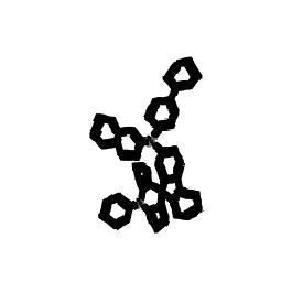 c1ccc(-c2ccc(N(c3ccc4c(c3)C3(c5ccccc5-4)c4ccccc4N(c4ccccc4)c4ccccc43)c3ccc4ccccc4c3)cc2)cc1